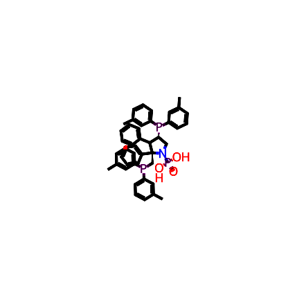 Cc1cccc(P(C[C@@]2(c3ccccc3)C(c3ccccc3)[C@H](P(c3cccc(C)c3)c3cccc(C)c3)CN2P(=O)(O)O)c2cccc(C)c2)c1